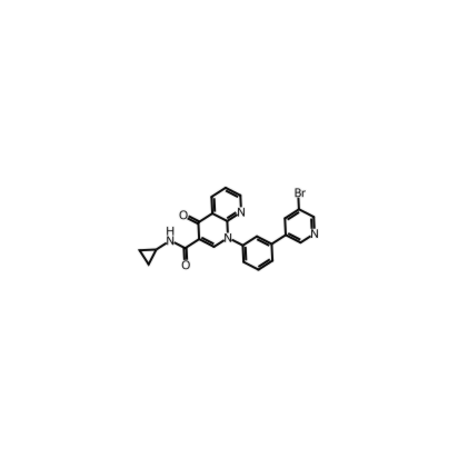 O=C(NC1CC1)c1cn(-c2cccc(-c3cncc(Br)c3)c2)c2ncccc2c1=O